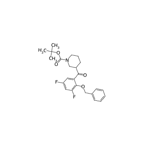 CC(C)(C)OC(=O)N1CCCC(C(=O)c2cc(F)cc(F)c2OCc2ccccc2)C1